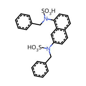 O=S(=O)(O)N(Cc1ccccc1)c1ccc2cccc(N(Cc3ccccc3)S(=O)(=O)O)c2c1